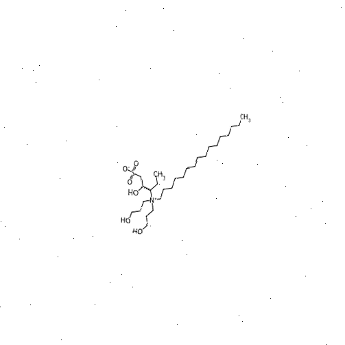 CCCCCCCCCCCCCCCC[N+](CCCO)(CCCO)C(CC)C(O)CS(=O)(=O)[O-]